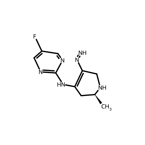 C[C@H]1CC(Nc2ncc(F)cn2)=C(N=N)CN1